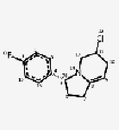 Fc1ccc([C@H]2CCC3=CCC(Cl)CN32)cc1